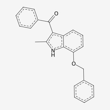 Cc1[nH]c2c(OCc3ccccc3)cccc2c1C(=O)c1ccccc1